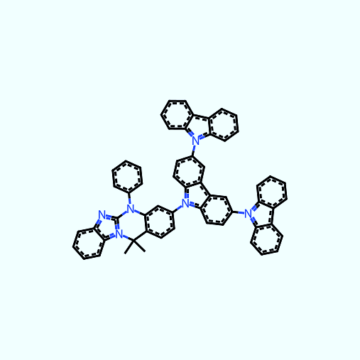 CC1(C)c2ccc(-n3c4ccc(-n5c6ccccc6c6ccccc65)cc4c4cc(-n5c6ccccc6c6ccccc65)ccc43)cc2N(c2ccccc2)c2nc3ccccc3n21